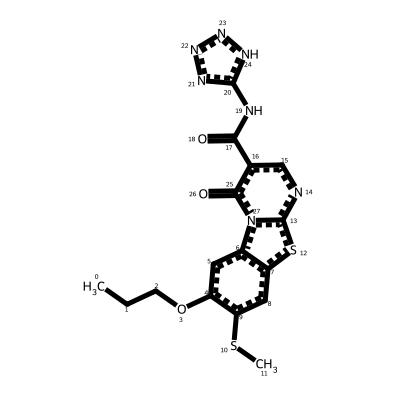 CCCOc1cc2c(cc1SC)sc1ncc(C(=O)Nc3nnn[nH]3)c(=O)n12